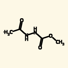 [CH2]C(=O)NNC(=O)OC